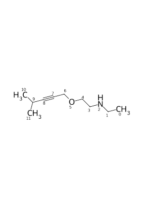 CCNCCOCC#CC(C)C